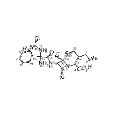 CSCC1=C(C(=O)O)N2C(=O)C(NC(=O)C(N)(NC(N)=O)c3ccccc3)[C@@H]2SC1